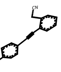 Cc1ccc(C#Cc2ccccc2CC#N)cc1